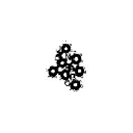 CC1(C)c2ccccc2N2c3ccccc3C(C)(C)c3cc(-c4ccccc4-c4cc5c6c(c4)Oc4ccccc4B6c4ccccc4O5)cc1c32